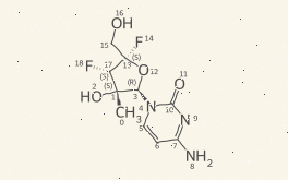 C[C@]1(O)[C@H](n2ccc(N)nc2=O)O[C@](F)(CO)[C@H]1F